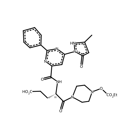 CCOC(=O)ON1CCN(C(=O)[C@H](CCC(=O)O)NC(=O)c2cc(-n3[nH]c(C)cc3=O)nc(-c3ccccc3)n2)CC1